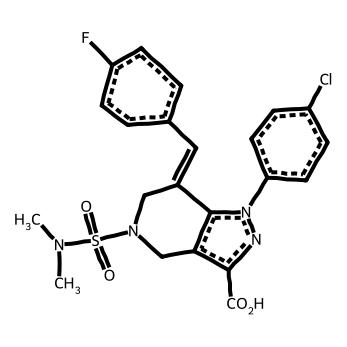 CN(C)S(=O)(=O)N1CC(=Cc2ccc(F)cc2)c2c(c(C(=O)O)nn2-c2ccc(Cl)cc2)C1